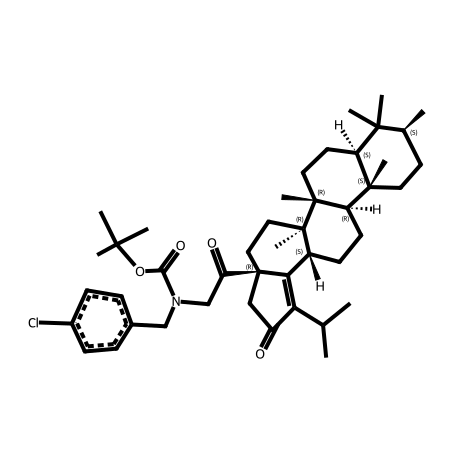 CC(C)C1=C2[C@H]3CC[C@@H]4[C@@]5(C)CC[C@H](C)C(C)(C)[C@@H]5CC[C@@]4(C)[C@]3(C)CC[C@@]2(C(=O)CN(Cc2ccc(Cl)cc2)C(=O)OC(C)(C)C)CC1=O